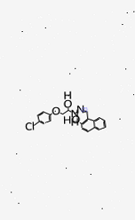 Oc1ccc2ccccc2c1/C=N\NC(O)COc1ccc(Cl)cc1